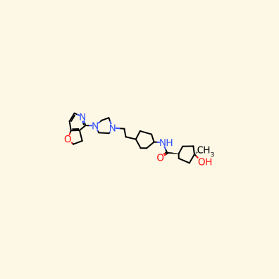 C[C@]1(O)CC[C@@H](C(=O)NC2CCC(CCN3CCN(c4nccc5c4CCO5)CC3)CC2)CC1